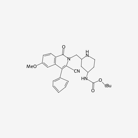 COc1ccc2c(=O)n(CC3CC(NC(=O)OC(C)(C)C)CCN3)c(C#N)c(-c3ccccc3)c2c1